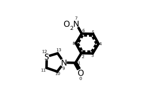 O=C(c1cccc([N+](=O)[O-])c1)N1CCSC1